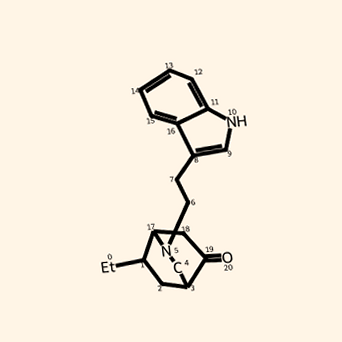 CCC1CC2CN(CCc3c[nH]c4ccccc34)C1CC2=O